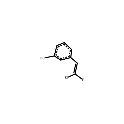 Oc1cccc(C=C(F)Cl)c1